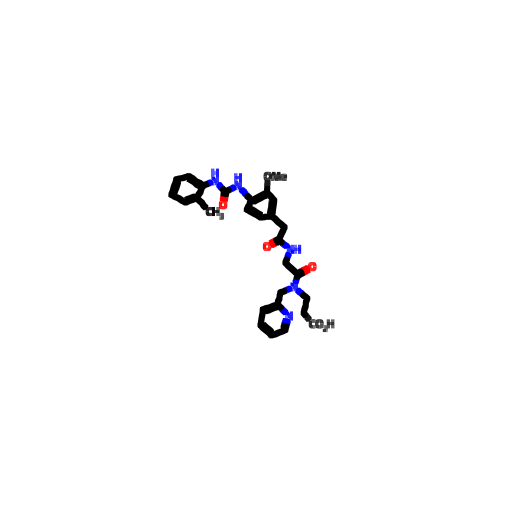 COc1cc(CC(=O)NCC(=O)N(CCC(=O)O)Cc2ccccn2)ccc1NC(=O)Nc1ccccc1C